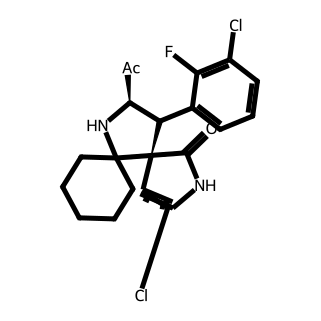 CC(=O)[C@@H]1NC2(CCCCC2)[C@@]2(C(=O)Nc3cc(Cl)ccc32)C1c1cccc(Cl)c1F